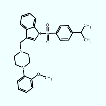 COc1ccccc1N1CCN(Cc2cn(S(=O)(=O)c3ccc(C(C)C)cc3)c3ccccc23)CC1